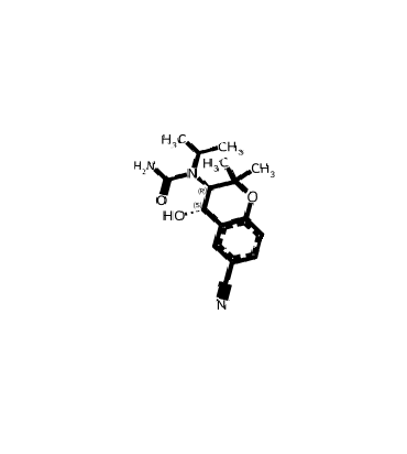 CC(C)N(C(N)=O)[C@@H]1[C@@H](O)c2cc(C#N)ccc2OC1(C)C